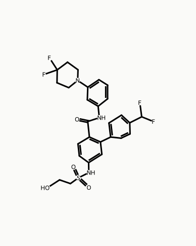 O=C(Nc1cccc(N2CCC(F)(F)CC2)c1)c1ccc(NS(=O)(=O)CCO)cc1-c1ccc(C(F)F)cc1